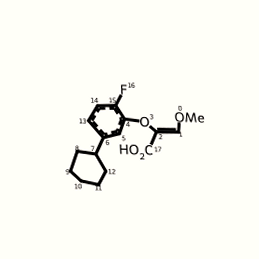 CO/C=C(\Oc1cc(C2CCCCC2)ccc1F)C(=O)O